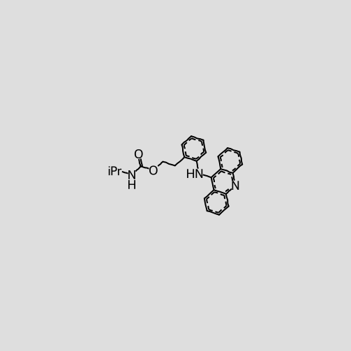 CC(C)NC(=O)OCCc1ccccc1Nc1c2ccccc2nc2ccccc12